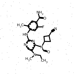 CCN(C)c1cnc(Nc2cc(F)c(C(N)=O)cc2C)nc1N(C=O)C1CC(C#N)C1